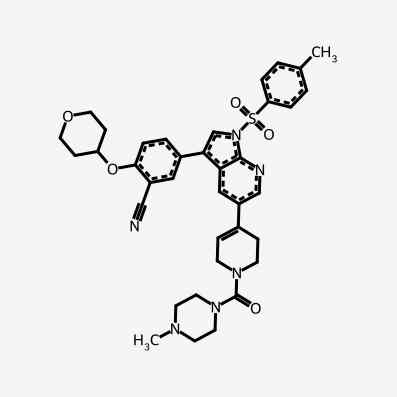 Cc1ccc(S(=O)(=O)n2cc(-c3ccc(OC4CCOCC4)c(C#N)c3)c3cc(C4=CCN(C(=O)N5CCN(C)CC5)CC4)cnc32)cc1